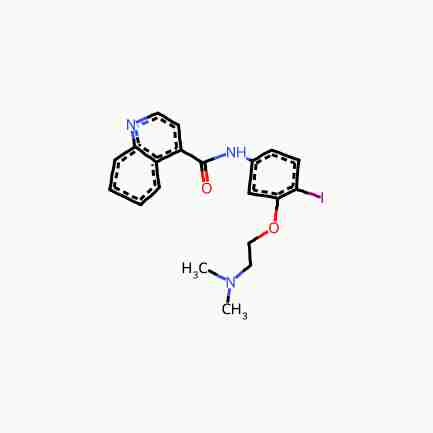 CN(C)CCOc1cc(NC(=O)c2ccnc3ccccc23)ccc1I